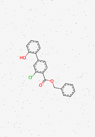 O=C(OCc1ccccc1)c1ccc(-c2ccccc2O)cc1Cl